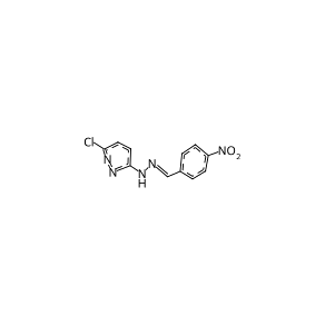 O=[N+]([O-])c1ccc(/C=N/Nc2ccc(Cl)nn2)cc1